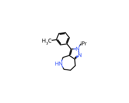 Cc1cccc(-c2c3c(nn2C(C)C)CCCNC3)c1